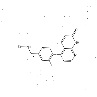 CCNCc1ccc(-c2ccnc3[nH]c(=O)ccc23)c(F)c1